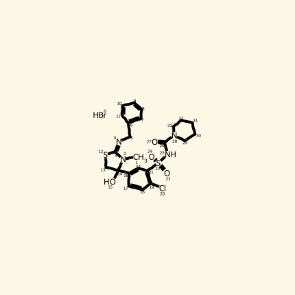 Br.CN1C(=NCc2ccccc2)SCC1(O)c1ccc(Cl)c(S(=O)(=O)NC(=O)N2CCCCC2)c1